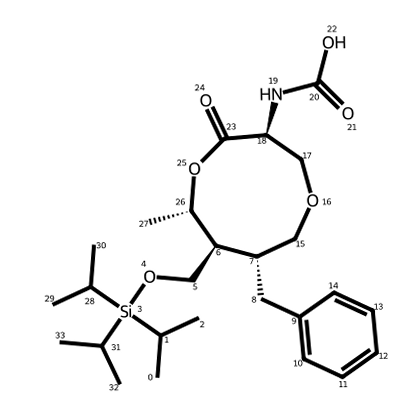 CC(C)[Si](OC[C@@H]1[C@@H](Cc2ccccc2)COC[C@H](NC(=O)O)C(=O)O[C@H]1C)(C(C)C)C(C)C